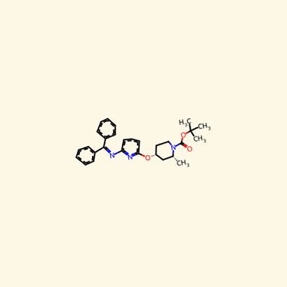 C[C@@H]1C[C@H](Oc2cccc(N=C(c3ccccc3)c3ccccc3)n2)CCN1C(=O)OC(C)(C)C